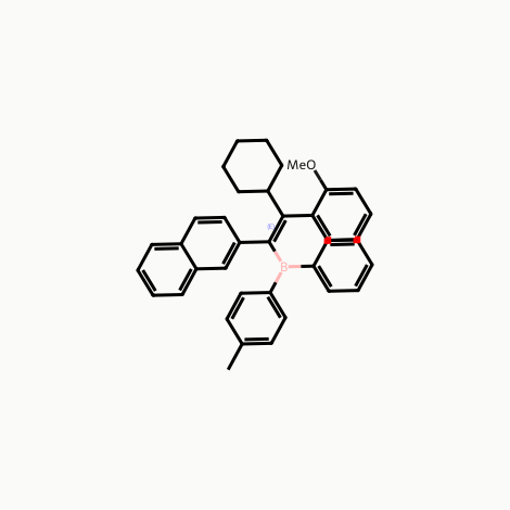 COc1ccccc1/C(=C(\B(c1ccccc1)c1ccc(C)cc1)c1ccc2ccccc2c1)C1CCCCC1